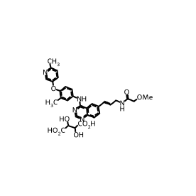 COCC(=O)NCC=Cc1ccc2ncnc(Nc3ccc(Oc4ccc(C)nc4)c(C)c3)c2c1.O=C(O)C(O)C(O)C(=O)O